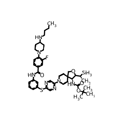 CCCCNC1CCN(c2ccc(C(=O)Nc3cccc(Sc4cnc(N5CCC6(CC5)COC([C@H](C)[SiH3])[C@H]6NC(=O)OC(C)(C)C)cn4)c3)cc2F)CC1